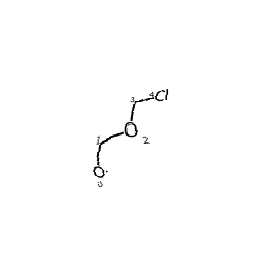 [O]COCCl